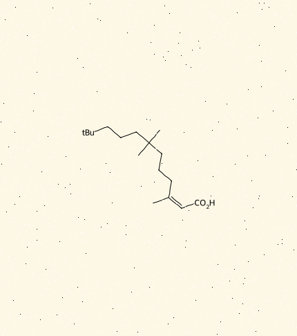 CC(=CC(=O)O)CCCC(C)(C)CCCC(C)(C)C